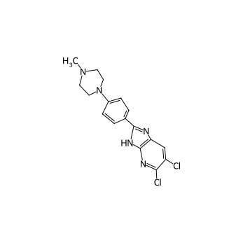 CN1CCN(c2ccc(-c3nc4cc(Cl)c(Cl)nc4[nH]3)cc2)CC1